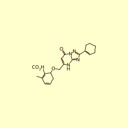 CC1=C(C(=O)O)C(OCc2cc(=O)n3nc(C4=CCCCC4)nc3[nH]2)CC=C1